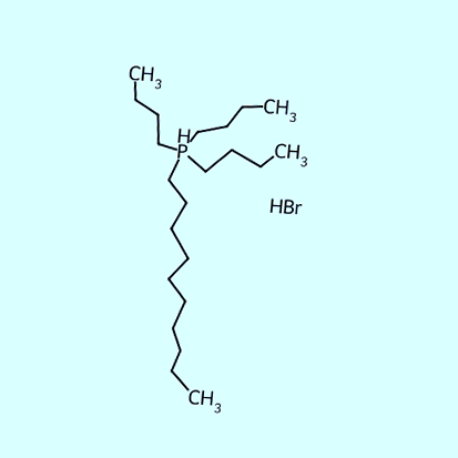 Br.CCCCCCCCCC[PH](CCCC)(CCCC)CCCC